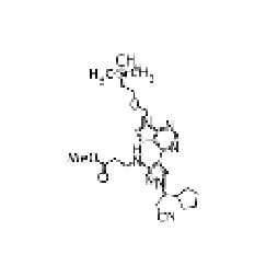 COC(=O)CCNc1nn(C(CC#N)C2CCCC2)cc1-c1ncnc2c1ccn2COCC[Si](C)(C)C